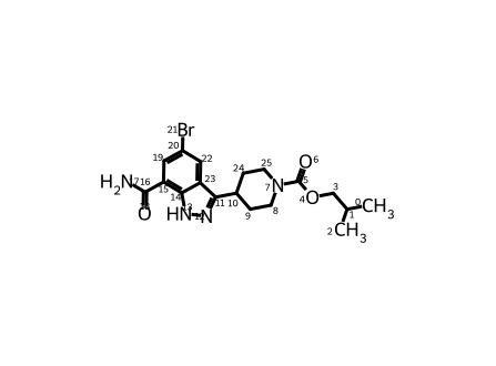 CC(C)COC(=O)N1CCC(c2n[nH]c3c(C(N)=O)cc(Br)cc23)CC1